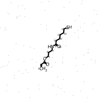 C=CC(=O)OCCCNC(=O)CCCCCS